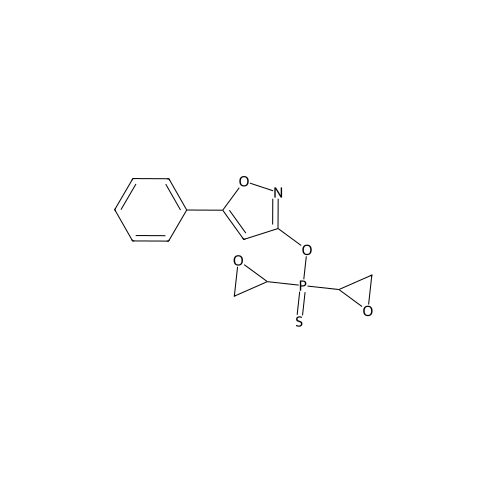 S=P(Oc1cc(-c2ccccc2)on1)(C1CO1)C1CO1